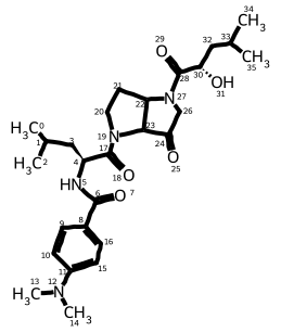 CC(C)C[C@H](NC(=O)c1ccc(N(C)C)cc1)C(=O)N1CCC2C1C(=O)CN2C(=O)[C@@H](O)CC(C)C